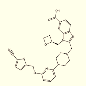 N#Cc1ccc(COc2cccc(C3CCN(Cc4nc5ccc(C(=O)O)cc5n4C[C@@H]4CCO4)CC3)n2)s1